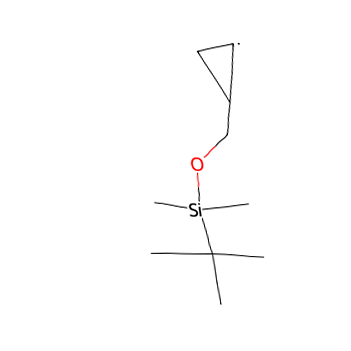 CC(C)(C)[Si](C)(C)OCC1[CH]C1